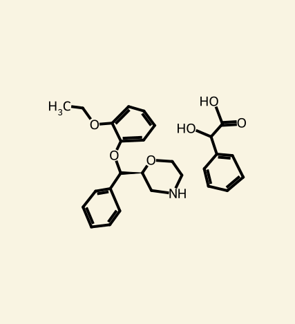 CCOc1ccccc1OC(c1ccccc1)[C@@H]1CNCCO1.O=C(O)C(O)c1ccccc1